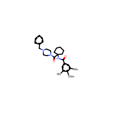 COc1c(C(C)(C)C)cc(C(=O)NC2(C(=O)N3CCN(Cc4ccccc4)CC3)CCCCC2)cc1C(C)(C)C